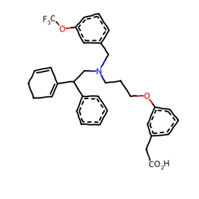 O=C(O)Cc1cccc(OCCCN(Cc2cccc(OC(F)(F)F)c2)CC(C2=CCCC=C2)c2ccccc2)c1